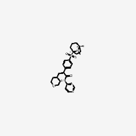 CN1[C@@H]2CCC[C@@]1(S(=O)(=O)c1ccc(C(=CC3CCOCC3)C(=O)Nc3ccncn3)cc1)CC2